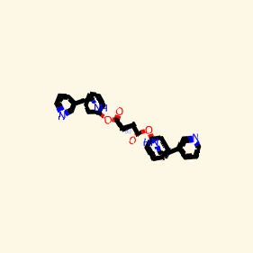 O=C(/C=C/C(=O)OC12C=CC(CC1)C(c1cccnc1)N2)OC12C=CC(CC1)C(c1cccnc1)N2